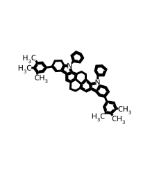 Cc1cc(C2=Cc3c(n(-c4ccccc4)c4c5c6c(cc34)CCc3cc4c7cc(-c8cc(C)c(C)c(C)c8)ccc7n(-c7ccccc7)c4c(c3-6)CC5)CC2)cc(C)c1C